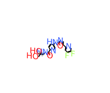 O=C(NC[C@@H](O)CO)c1ccc(Nc2ncc(-c3cc(F)c(F)cn3)o2)cn1